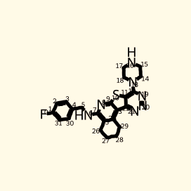 Fc1ccc(CNc2nc3sc4c(N5CCNCC5)nnnc4c3c3c2CCCC3)cc1